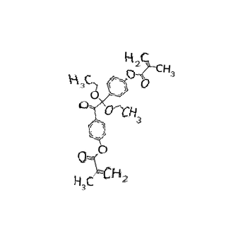 C=C(C)C(=O)Oc1ccc(C(=O)C(OCC)(OCC)c2ccc(OC(=O)C(=C)C)cc2)cc1